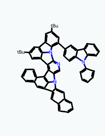 CC(C)(C)c1cc(-c2ccc3c(c2)c2ccccc2n3-c2ccccc2)c2c(c1)c1cc(C(C)(C)C)cc3c4c5c6c7ccccc7cc7c8cc9ccccc9cc8n(c5cnc4n2c13)c76